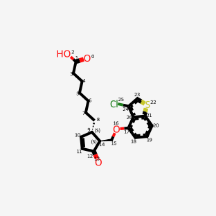 O=C(O)CCCCCC[C@H]1C=CC(=O)[C@@H]1COc1cccc2scc(Cl)c12